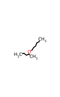 [CH2]CCC(C)OCCCCCC